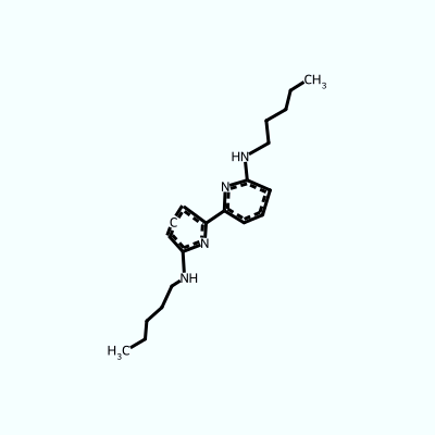 CCCCCNc1cccc(-c2cccc(NCCCCC)n2)n1